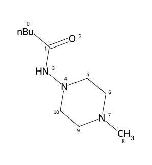 CCCCC(=O)NN1CCN(C)CC1